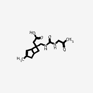 CC(=O)CNC(=O)NCC1(CC(=O)O)CC2CC(C)=CC21